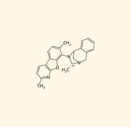 Cc1ccc2c(n1)oc1c(N3C4CN(Cc5ccccc54)[C@@H]3C)c(C)ccc12